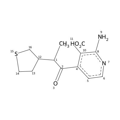 CC(C(=O)c1ccnc(N)c1C(=O)O)C1CCSC1